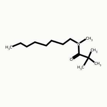 CCCCCCCCN(C)C(=O)C(C)(C)C